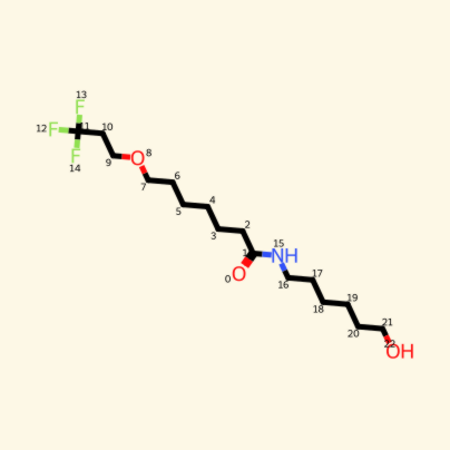 O=C(CCCCCCOCCC(F)(F)F)NCCCCCCO